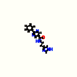 O=C(NCCc1c[nH]cn1)c1cnc(-c2ccccc2)nc1